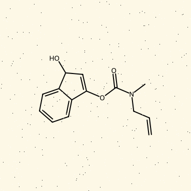 C=CCN(C)C(=O)OC1=CC(O)c2ccccc21